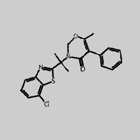 CC1=C(c2ccccc2)C(=O)N(C(C)(C)c2nc3cccc(Cl)c3s2)CO1